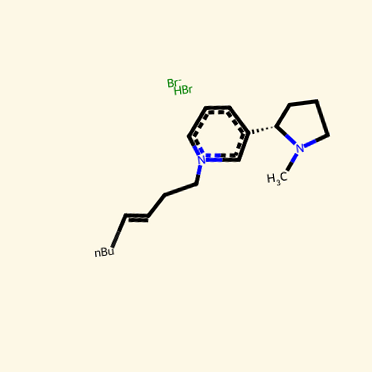 Br.CCCC/C=C/CC[n+]1cccc([C@@H]2CCCN2C)c1.[Br-]